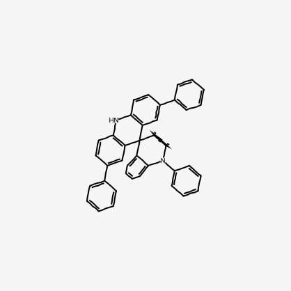 c1ccc(-c2ccc3c(c2)C2(c4cc(-c5ccccc5)ccc4N3)c3ccccc3N(c3ccccc3)c3ccccc32)cc1